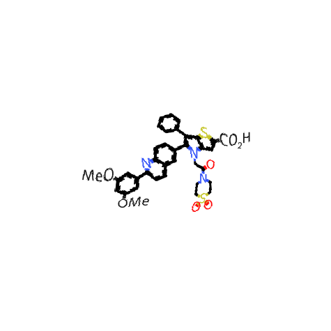 COc1cc(OC)cc(-c2ccc3cc(-c4c(-c5ccccc5)c5sc(C(=O)O)cc5n4CC(=O)N4CCS(=O)(=O)CC4)ccc3n2)c1